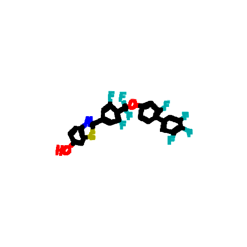 Oc1ccc2nc(-c3cc(F)c(C(F)(F)Oc4ccc(-c5cc(F)c(F)c(F)c5)c(F)c4)c(F)c3)sc2c1